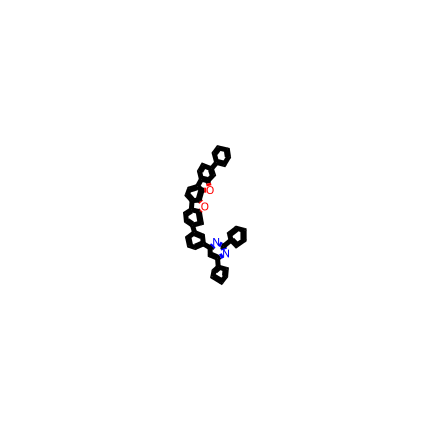 c1ccc(-c2ccc3c(c2)oc2c3ccc3c4ccc(-c5cccc(-c6cc(-c7ccccc7)nc(-c7ccccc7)n6)c5)cc4oc32)cc1